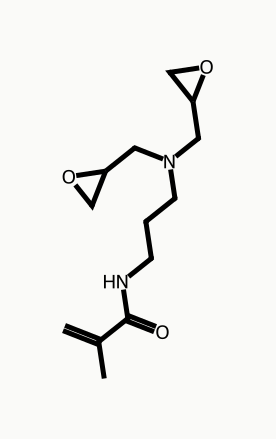 C=C(C)C(=O)NCCCN(CC1CO1)CC1CO1